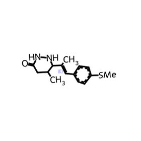 CSc1ccc(/C=C(\C)C2NNC(=O)CC2C)cc1